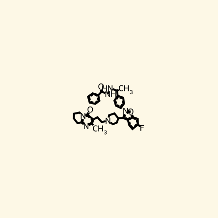 CC(NNC(=O)c1ccccc1)c1ccccc1.Cc1nc2n(c(=O)c1CCN1CCC(c3noc4cc(F)ccc34)CC1)CCCC2